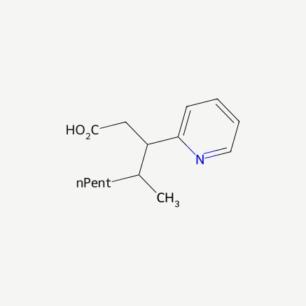 CCCCCC(C)C(CC(=O)O)c1ccccn1